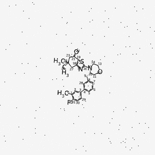 Cc1cc(-c2cccc(C[C@H]3COCCN3c3nc4c(s3)C(=O)CC(C)(C)C4)c2)ccc1F